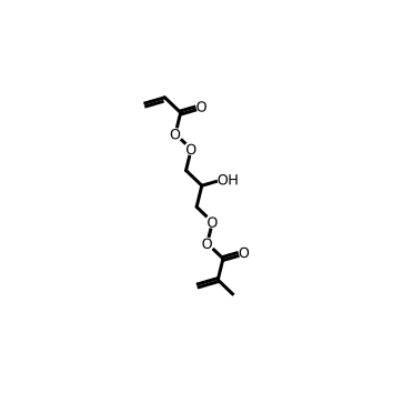 C=CC(=O)OOCC(O)COOC(=O)C(=C)C